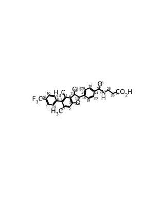 Cc1cc2c(c(C)c1-c1ccc(C(F)(F)F)cc1)C(C)C(c1ccc(C(=O)NCCC(=O)O)cc1)O2